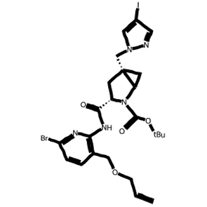 C=CCOCc1ccc(Br)nc1NC(=O)[C@@H]1C[C@@]2(Cn3cc(I)cn3)CC2N1C(=O)OC(C)(C)C